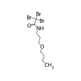 CCCCOCCCNC(=O)C(Br)(Br)Br